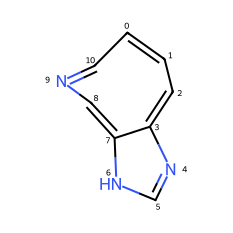 C1=C\C=c2\nc[nH]\c2=C/N=C/1